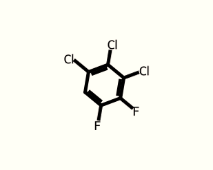 Fc1cc(Cl)c(Cl)c(Cl)c1F